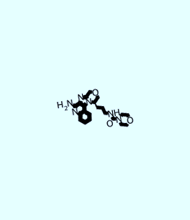 Nc1nc2ccccc2c2c1nc1n2[C@H](CCCNC(=O)N2CCOCC2)COC1